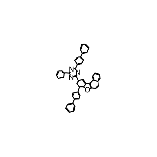 c1ccc(-c2ccc(-c3nc(-c4ccccc4)nc(-c4cc(-c5ccc(-c6ccccc6)cc5)c5oc6ccc7ccccc7c6c5c4)n3)cc2)cc1